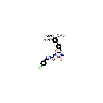 COc1cc(-c2ccc(C[C@H]3C(=O)N(CC(=O)NCCc4ccc(Cl)cc4)CC(=O)N3C)cc2)cc(OC)c1OC